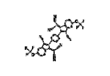 N#CC(C#N)=C1C(c2ccc(C3=C(C#N)c4cc(OC(F)(F)F)ccc4C3=C(C#N)C#N)cc2)=C(C#N)c2cc(OC(F)(F)F)ccc21